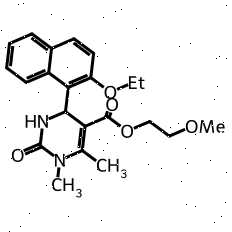 CCOc1ccc2ccccc2c1C1NC(=O)N(C)C(C)=C1C(=O)OCCOC